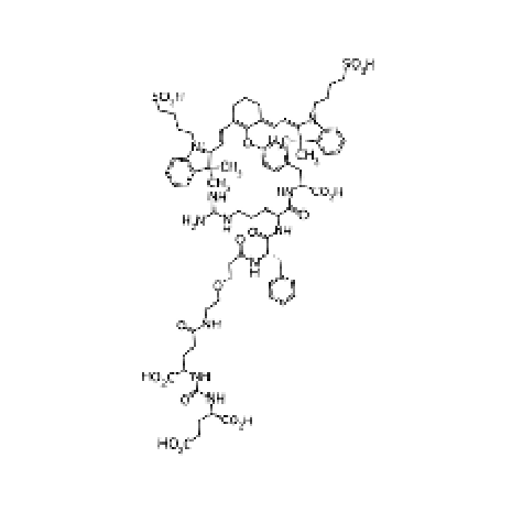 CC1(C)C(/C=C/C2=C(Oc3ccc(C[C@H](NC(=O)[C@H](CCCNC(=N)N)NC(=O)[C@H](Cc4ccccc4)NC(=O)CCOCCNC(=O)CC[C@@H](NC(=O)N[C@H](CCC(=O)O)C(=O)O)C(=O)O)C(=O)O)cc3)C(=C/C=C3/N(CCCCS(=O)(=O)O)c4ccccc4C3(C)C)/CCC2)=[N+](CCCCS(=O)(=O)O)c2ccccc21